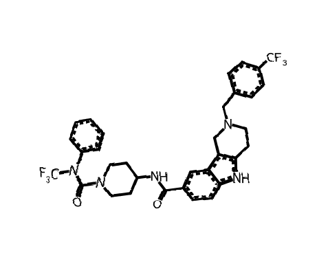 O=C(NC1CCN(C(=O)N(c2ccccc2)C(F)(F)F)CC1)c1ccc2[nH]c3c(c2c1)CN(Cc1ccc(C(F)(F)F)cc1)CC3